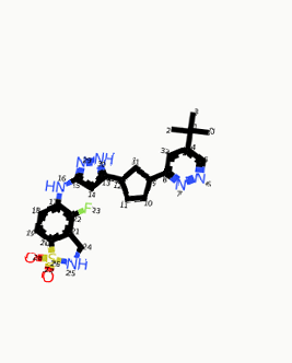 CC(C)(C)c1cnnc(C2CCC(c3cc(Nc4ccc5c(c4F)CNS5(=O)=O)n[nH]3)C2)c1